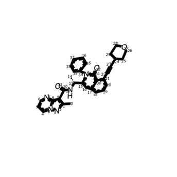 Cc1nn2cccnc2c1C(=O)N[C@H](C)c1cc2cccc(C#CC3CCOCC3)c2c(=O)n1-c1ccccc1